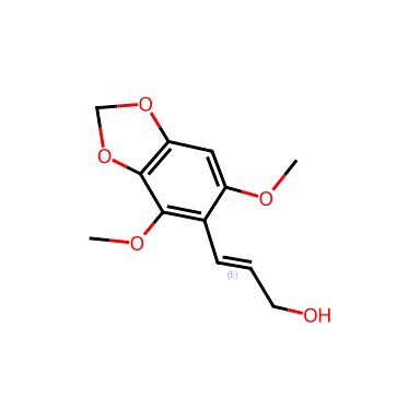 COc1cc2c(c(OC)c1/C=C/CO)OCO2